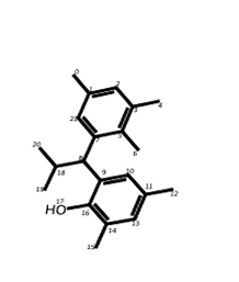 Cc1cc(C)c(C)c(C(c2cc(C)cc(C)c2O)C(C)C)c1